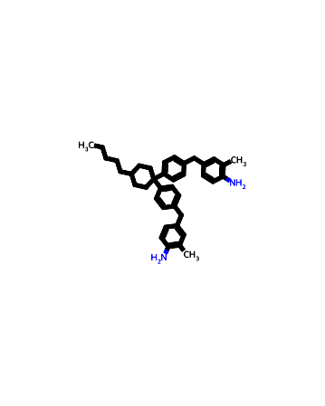 CCCCCC1CCC(c2ccc(Cc3ccc(N)c(C)c3)cc2)(c2ccc(Cc3ccc(N)c(C)c3)cc2)CC1